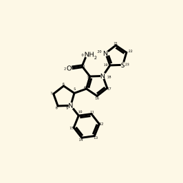 NC(=O)c1c(C2CCCN2c2ccccc2)ccn1-c1nccs1